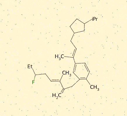 C=C(Cc1cc(/C(C)=C/CC2CCC(C(C)C)C2)ccc1C)/C(C)=C/CC(F)CC